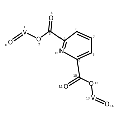 [O]=[V][O]C(=O)c1cccc(C(=O)[O][V]=[O])n1